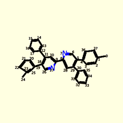 Cc1ccc(-c2cnc(-c3cc(-c4ccccc4)c(-c4cccc(C)c4)cn3)cc2-c2ccccc2)cc1